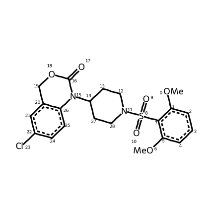 COc1cccc(OC)c1S(=O)(=O)N1CCC(N2C(=O)OCc3cc(Cl)ccc32)CC1